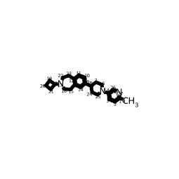 Cc1ccc(N2CCC(c3ccc4c(c3)CCN(C3CCC3)CC4)CC2)cn1